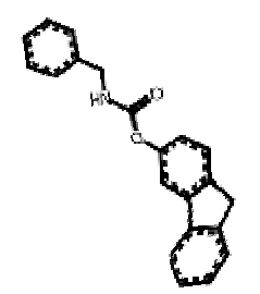 O=C(NCc1ccccc1)Oc1ccc2c(c1)-c1ccccc1C2